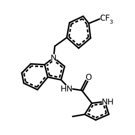 Cc1cc[nH]c1C(=O)Nc1cn(Cc2ccc(C(F)(F)F)cc2)c2ccccc12